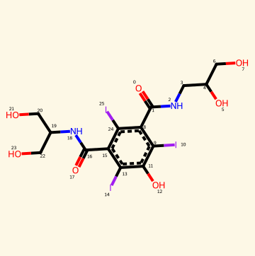 O=C(NCC(O)CO)c1c(I)c(O)c(I)c(C(=O)NC(CO)CO)c1I